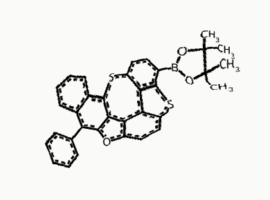 CC1(C)OB(c2ccc3sc4c5ccccc5c(-c5ccccc5)c5oc6ccc7sc2c3c7c6c54)OC1(C)C